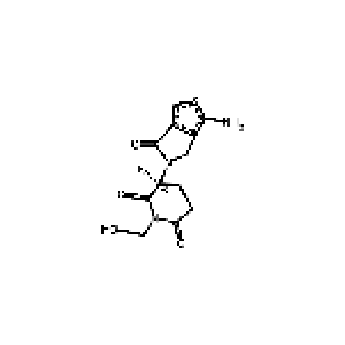 Nc1scc2c1CN([C@@]1(F)CCC(=O)N(CO)C1=O)C2=O